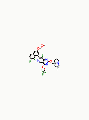 COCOc1cc(-c2ncc3c(OCC(F)(F)F)nc(OC[C@@]45CCCN4C[C@H](F)C5)nc3c2F)c2c(F)c(F)ccc2c1